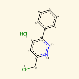 Cl.ClCc1ccc(-c2ccccc2)nn1